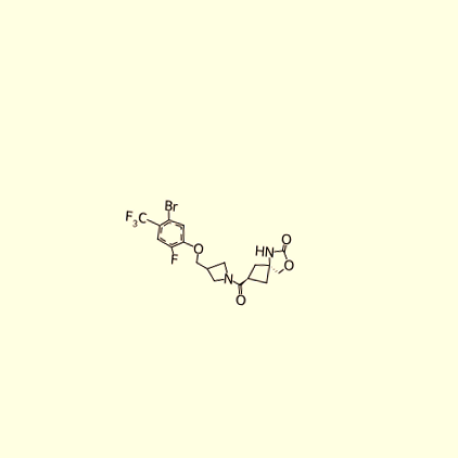 O=C1N[C@]2(CO1)C[C@H](C(=O)N1CC(COc3cc(Br)c(C(F)(F)F)cc3F)C1)C2